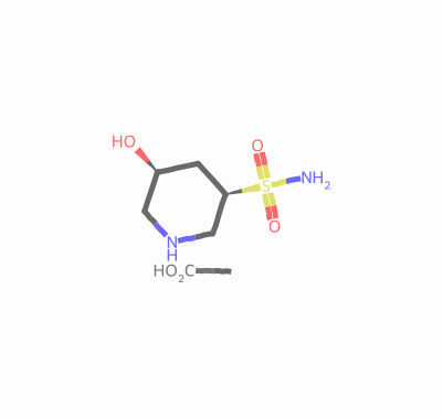 CC(=O)O.NS(=O)(=O)[C@H]1CNC[C@@H](O)C1